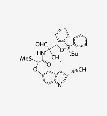 C#Cc1cnc2ccc(OC(SC)C(=O)NC(C)(C=O)CO[Si](c3ccccc3)(c3ccccc3)C(C)(C)C)cc2c1